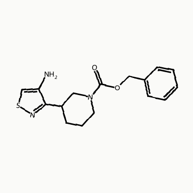 Nc1csnc1C1CCCN(C(=O)OCc2ccccc2)C1